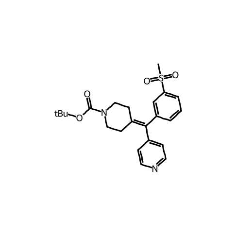 CC(C)(C)OC(=O)N1CCC(=C(c2ccncc2)c2cccc(S(C)(=O)=O)c2)CC1